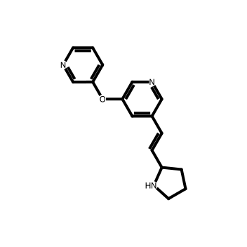 C(=CC1CCCN1)c1cncc(Oc2cccnc2)c1